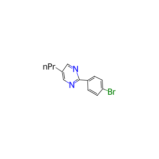 CCCc1cnc(-c2ccc(Br)cc2)nc1